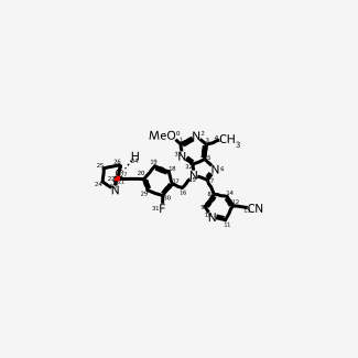 COc1nc(C)c2nc(-c3cncc(C#N)c3)n(Cc3ccc([C@@H]4CN5CCC4CC5)cc3F)c2n1